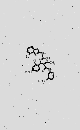 CCc1cccc2nc(NC3=NC(c4ccc(OC)cc4Cl)C(C(=O)Nc4cc(C(=O)O)ccn4)=C(C)N3)oc12